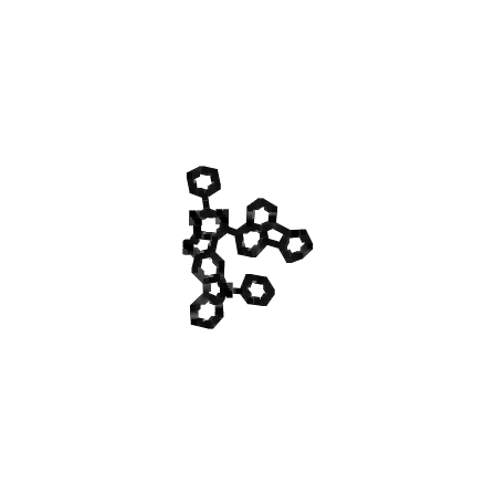 c1ccc(-c2nc(-c3ccc4c5c(cccc35)-c3ccccc3-4)c3c(n2)sc2cc4c5ccccc5n(-c5ccccc5)c4cc23)cc1